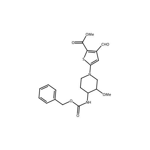 COC(=O)c1sc(N2CCC(NC(=O)OCc3ccccc3)C(OC)C2)cc1C=O